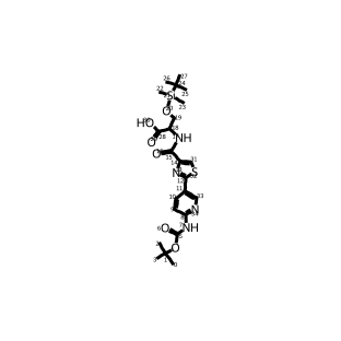 CC(C)(C)OC(=O)Nc1ccc(-c2nc(C(=O)NC(CO[Si](C)(C)C(C)(C)C)C(=O)O)cs2)cn1